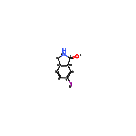 O=C1NCc2ccc(I)cc21